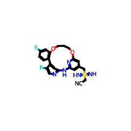 N#CCS(=N)(=N)Cc1cc2nc(c1)OCCCOc1cc(F)ccc1-c1cc(ncc1F)N2